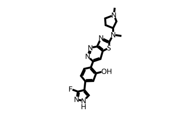 CN1CCC(N(C)c2nc3nnc(-c4ccc(-c5c[nH]nc5F)cc4O)cc3s2)C1